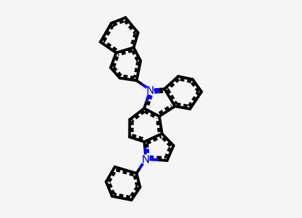 c1ccc(-n2ccc3c4c5ccccc5n(-c5ccc6ccccc6c5)c4ccc32)cc1